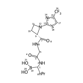 CCCC(NC(=O)CNC(=O)[C@@H]1CCN1c1nc(C(F)(F)F)cs1)B(O)O